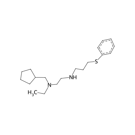 CCN(CCNCCCSc1ccccc1)CC1CCCC1